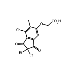 CCC1(CC)C(=O)c2cc(OCC(=O)O)c(C)c(Cl)c2C1=O